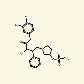 CN(C(=O)Cc1ccc(Cl)c(Cl)c1)C(CN1CCC(OS(C)(=O)=O)C1)c1ccccc1